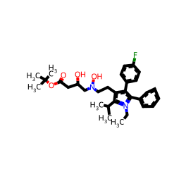 CCn1c(-c2ccccc2)c(-c2ccc(F)cc2)c(CCN(O)CC(O)CC(=O)OC(C)(C)C)c1C(C)C